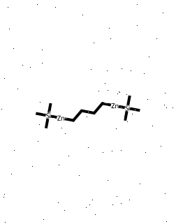 C[Si](C)(C)[Zn][CH2]CC[CH2][Zn][Si](C)(C)C